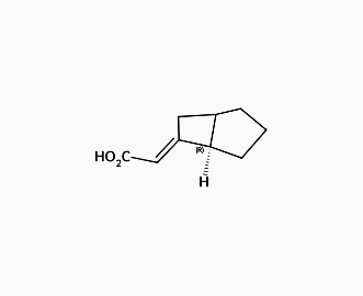 O=C(O)C=C1CC2CCC[C@@H]12